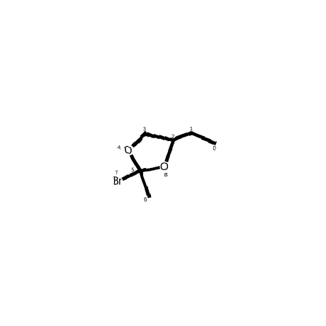 CCC1COC(C)(Br)O1